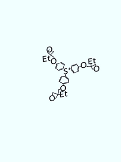 CCC1(COc2ccc([S+](c3ccc(OCC4(CC)COC4)cc3)c3ccc(OCC4(CC)COC4)cc3)cc2)COC1